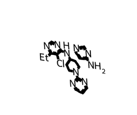 CCc1ncnc(NC2CCN(c3ncccn3)CC2)c1Cl.Nc1ccncn1